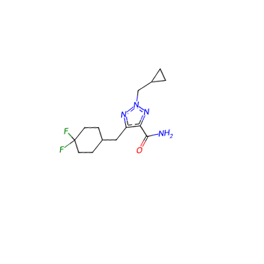 NC(=O)c1nn(CC2CC2)nc1CC1CCC(F)(F)CC1